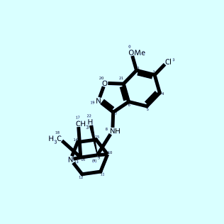 COc1c(Cl)ccc2c(N[C@@H]3C4CCN(CC4)C3(C)C)noc12